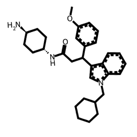 COc1cccc(C(CC(=O)N[C@H]2CC[C@H](N)CC2)c2cn(CC3CCCCC3)c3ccccc23)c1